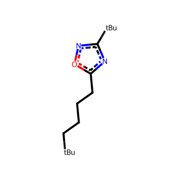 CC(C)(C)CCCCc1nc(C(C)(C)C)no1